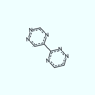 [c]1nncnc1-c1nccnn1